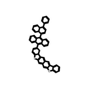 C1=CC2C(c3ccccc3)=CC=C(c3c4ccccc4c(C4=CC=C5Sc6cc7cc8oc9ccccc9c8cc7cc6C5C4)c4ccccc34)C2C=C1